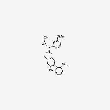 COc1cccc(C(C2CC2O)N2CCC3Cc4[nH]c5cccc([N+](=O)[O-])c5c4CC3C2)c1